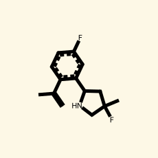 C=C(C)c1ccc(F)cc1C1CC(C)(F)CN1